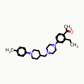 CCc1cc(N2CCN(CC3CCN(c4ccc(C)cc4)CC3)CC2)ccc1C(C)=O